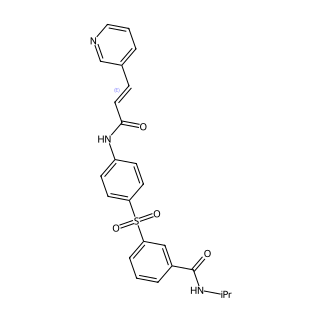 CC(C)NC(=O)c1cccc(S(=O)(=O)c2ccc(NC(=O)/C=C/c3cccnc3)cc2)c1